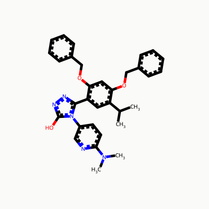 CC(C)c1cc(-c2nnc(O)n2-c2ccc(N(C)C)nc2)c(OCc2ccccc2)cc1OCc1ccccc1